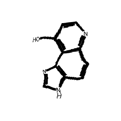 Oc1ccnc2ccc3[nH]cnc3c12